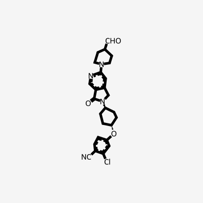 N#Cc1ccc(O[C@H]2CC[C@H](N3Cc4cc(N5CCC(C=O)CC5)ncc4C3=O)CC2)cc1Cl